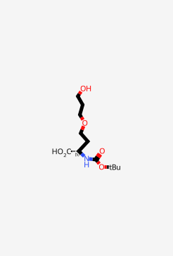 CC(C)(C)OC(=O)N[C@@H](CCOCCCO)C(=O)O